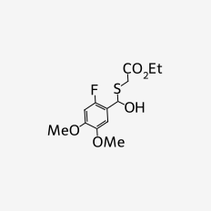 CCOC(=O)CSC(O)c1cc(OC)c(OC)cc1F